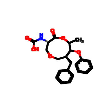 CC1OC(=O)[C@@H](NC(=O)O)COC[C@H](Cc2ccccc2)C1Oc1ccccc1